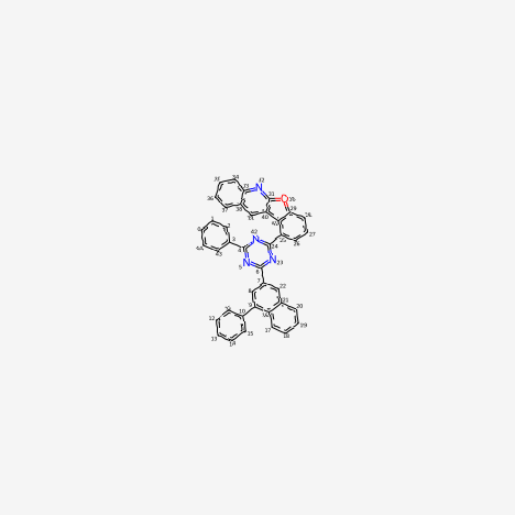 c1ccc(-c2nc(-c3cc(-c4ccccc4)c4ccccc4c3)nc(-c3cccc4oc5nc6ccccc6cc5c34)n2)cc1